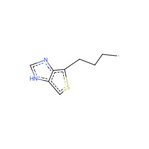 [CH2]CCCc1scc2[nH]cnc12